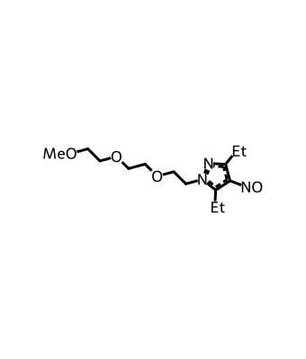 CCc1nn(CCOCCOCCOC)c(CC)c1N=O